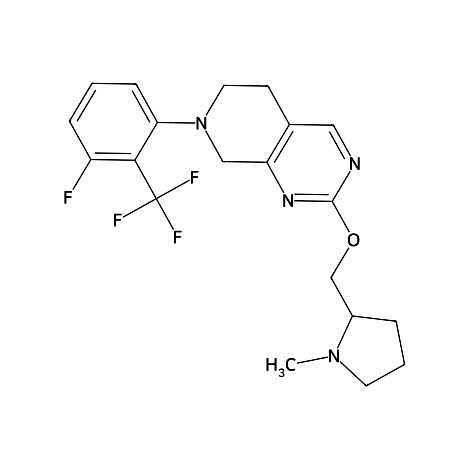 CN1CCCC1COc1ncc2c(n1)CN(c1cccc(F)c1C(F)(F)F)CC2